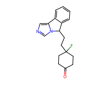 O=C1CCC(F)(CCC2c3ccccc3-c3cncn32)CC1